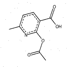 CC(=O)Oc1nc(C)ccc1C(=O)O